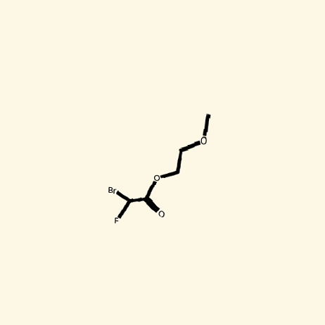 COCCOC(=O)C(F)Br